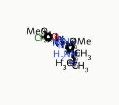 COc1cc(Oc2ncnc(Nc3cc(N)c(N(C)CCN(C)C)cc3OC)n2)ccc1Cl